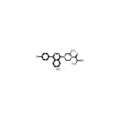 CC(C)C(N)C(=O)N1CCN(c2nnc(-c3ccc(Cl)cc3)c3ccccc23)C[C@H]1C.Cl